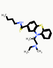 CCCCNC(=S)c1ccc2c(c1)N([C@H](C)CN(C)CC)c1ccccc1S2